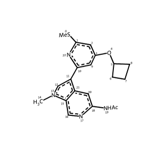 CSc1cc(OC2CCC2)cc(-c2cn(C)c3cnc(NC(C)=O)cc23)n1